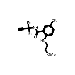 C#CC(CC)(CC)NC(=O)c1cc(C(F)(F)F)ccc1NCCOC